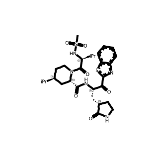 CC(C)[C@H]1CCN(C(=O)[C@@H](NS(C)(=O)=O)C(C)C)[C@H](C(=O)N[C@@H](C[C@@H]2CCNC2=O)C(=O)c2nc3ccccc3s2)C1